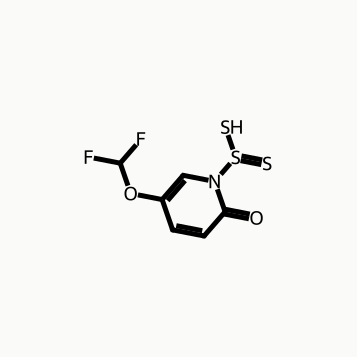 O=c1ccc(OC(F)F)cn1S(=S)S